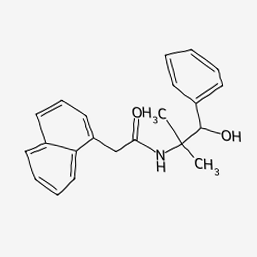 CC(C)(NC(=O)Cc1cccc2ccccc12)C(O)c1ccccc1